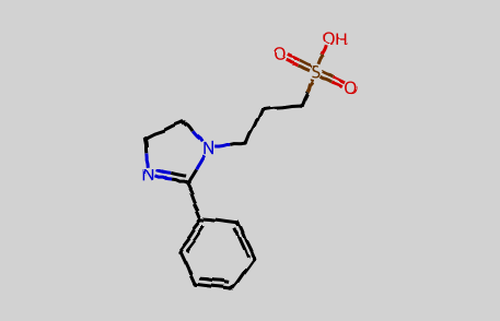 O=S(=O)(O)CCCN1CCN=C1c1ccccc1